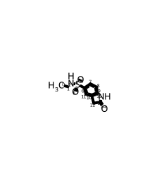 CCNS(=O)(=O)c1ccc2c(c1)CC(=O)N2